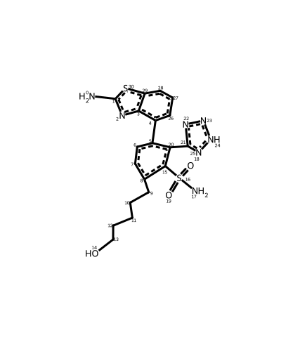 Nc1nc2c(-c3ccc(CCCCCO)c(S(N)(=O)=O)c3-c3nn[nH]n3)cccc2s1